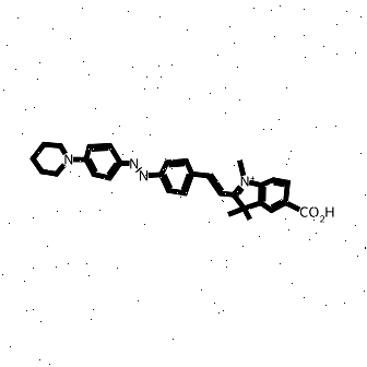 C[N+]1=C(/C=C/c2ccc(/N=N/c3ccc(N4CCCCC4)cc3)cc2)C(C)(C)c2cc(C(=O)O)ccc21